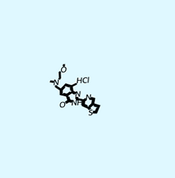 COCCN(C)Cc1cc(C)c2nc(-c3cc4sccc4cn3)[nH]c(=O)c2c1.Cl